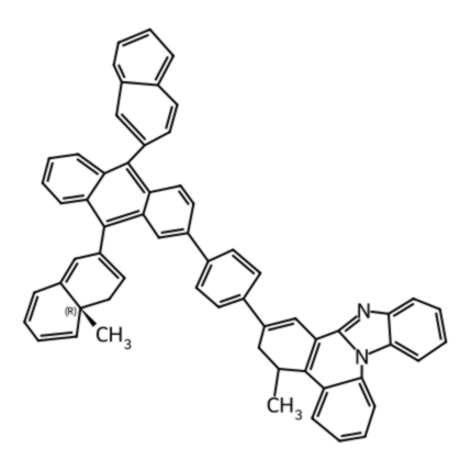 CC1CC(c2ccc(-c3ccc4c(-c5ccc6ccccc6c5)c5ccccc5c(C5=CC[C@]6(C)C=CC=CC6=C5)c4c3)cc2)=Cc2c1c1ccccc1n1c2nc2ccccc21